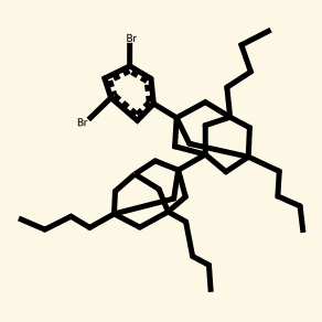 CCCCC12CC3CC(CCCC)(C1)CC(C14CC5(CCCC)CC(CCCC)(CC(c6cc(Br)cc(Br)c6)(C5)C1)C4)(C3)C2